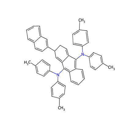 Cc1ccc(N(c2ccc(C)cc2)c2c3c(c(N(c4ccc(C)cc4)c4ccc(C)cc4)c4ccccc24)=CC(c2ccc4ccccc4c2)CC=3)cc1